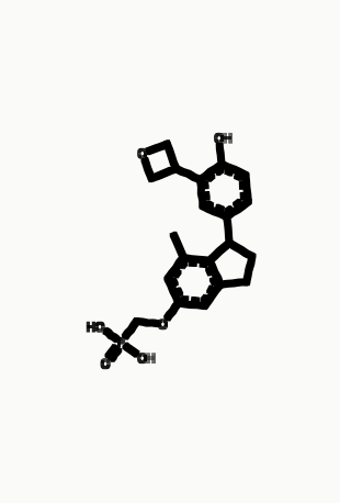 Cc1cc(OCP(=O)(O)O)cc2c1C(c1ccc(O)c(C3COC3)c1)CC2